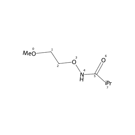 COCCONC(=O)C(C)C